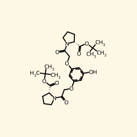 CC(C)(C)OC(=O)[C@H]1CCCN1C(=O)COc1cc(O)cc(OCC(=O)N2CCC[C@@H]2C(=O)OC(C)(C)C)c1